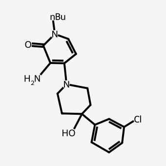 CCCCn1ccc(N2CCC(O)(c3cccc(Cl)c3)CC2)c(N)c1=O